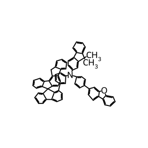 CC1(C)c2ccccc2-c2ccc(N(c3ccc(-c4ccc5c(c4)oc4ccccc45)cc3)c3cccc(-c4cccc5c4C4(c6ccccc6-5)c5ccccc5-c5c4ccc4c5Cc5ccccc5-4)c3)cc21